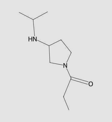 CCC(=O)N1CCC(NC(C)C)C1